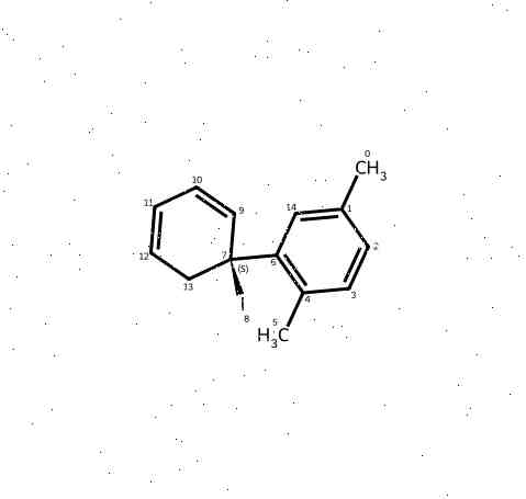 Cc1ccc(C)c([C@@]2(I)C=CC=CC2)c1